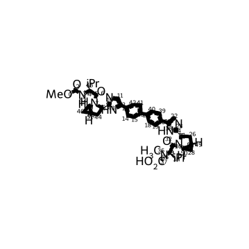 COC(=O)N[C@@H](C(=O)N1[C@H](c2ncc(-c3ccc(-c4ccc(-c5cnc([C@@H]6C[C@@H]7C[C@@H]7N6C(=O)[C@@H](C(C)C)N(C)C(=O)O)[nH]5)cc4)cc3)[nH]2)C[C@H]2C[C@@H]21)C(C)C